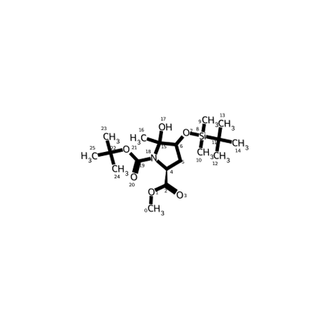 COC(=O)[C@@H]1CC(O[Si](C)(C)C(C)(C)C)C(C)(O)N1C(=O)OC(C)(C)C